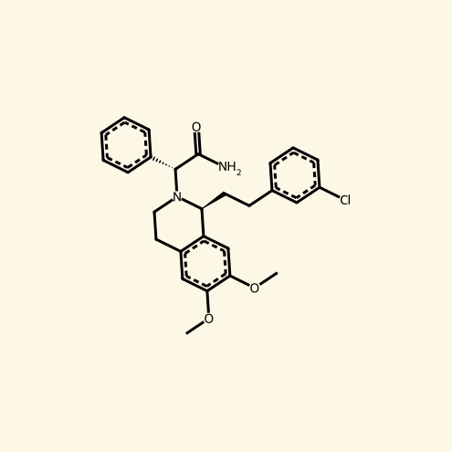 COc1cc2c(cc1OC)[C@H](CCc1cccc(Cl)c1)N([C@@H](C(N)=O)c1ccccc1)CC2